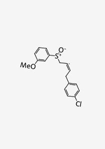 COc1cccc([S+]([O-])C/[C]=C\Cc2ccc(Cl)cc2)c1